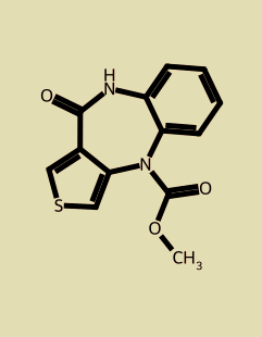 COC(=O)N1c2ccccc2NC(=O)c2cscc21